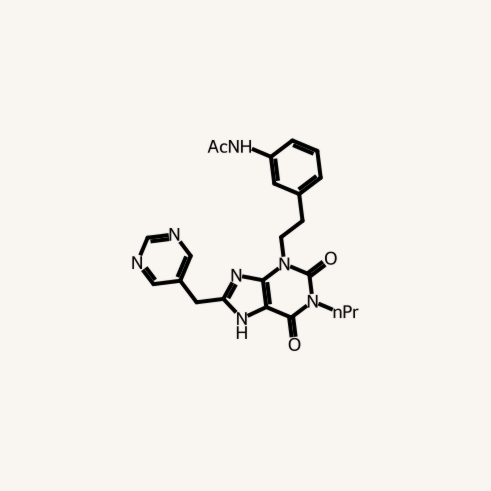 CCCn1c(=O)c2[nH]c(Cc3cncnc3)nc2n(CCc2cccc(NC(C)=O)c2)c1=O